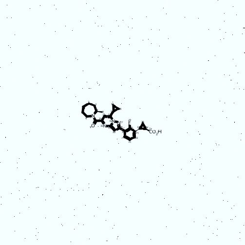 C[C@@H]1CCCCCN1C(=O)c1cc(C2CC2)n2nc(-c3cccc([C@@H]4C[C@H]4C(=O)O)c3F)cc2n1